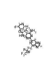 CC1(c2cncc(F)c2)C(=O)Nc2nc(-c3cn4ncnc4c(CCC(F)(F)C(F)(F)F)n3)nc(N)c21